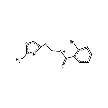 Cc1nc(CCNC(=O)c2ccccc2Br)cs1